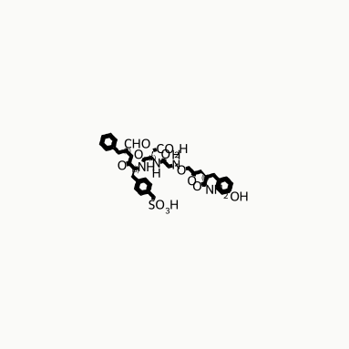 NC(=O)[C@@H](CC(=O)CONCC(=O)N[C@@H](CC(=O)O)C(=O)N[C@@H](Cc1ccc(CS(=O)(=O)O)cc1)C(=O)C[C@H](C=O)Cc1ccccc1)Cc1ccc(O)cc1